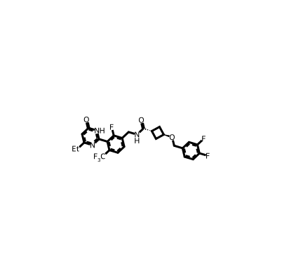 CCc1cc(=O)[nH]c(-c2c(C(F)(F)F)ccc(CNC(=O)[C@H]3C[C@H](OCc4ccc(F)c(F)c4)C3)c2F)n1